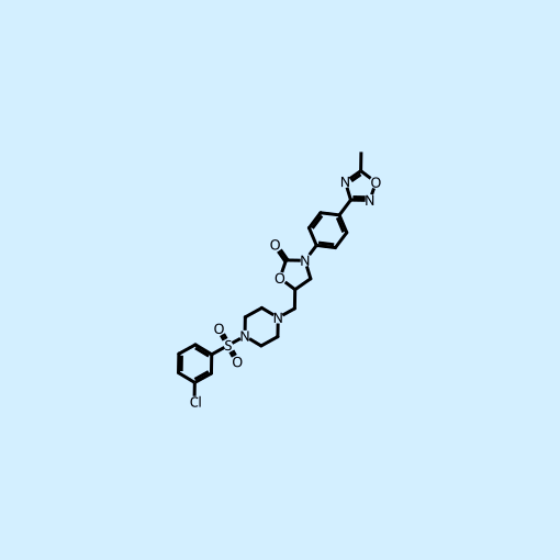 Cc1nc(-c2ccc(N3CC(CN4CCN(S(=O)(=O)c5cccc(Cl)c5)CC4)OC3=O)cc2)no1